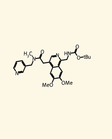 COc1cc2c(CC(=O)N(C)Cc3cccnc3)cnc(CNC(=O)OC(C)(C)C)c2cc1OC